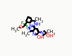 COCC(F)(F)c1cccc([C@@H](C)Nc2nnc(C)c3nc(O)c(N4CC(C)(O)C4)cc23)c1